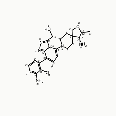 Cc1cc(N2CCC3(CC2)CO[C@@H](C)[C@H]3N)n2c(CO)nnc2c1-c1ccnc(N)c1Cl